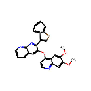 COc1cc2nccc(Oc3cc4cccnc4nc3-c3csc4ccccc34)c2cc1OC